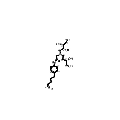 NCCCCc1ccc(NCCN(C[C@H](O)[C@H](O)CO)C[C@H](O)[C@H](O)CO)cc1